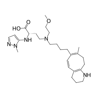 COCCN(CCCCC1=C(\C)CCC2=C(/C=C\1)CCCN2)CC[C@H](Nc1ccnn1C)C(=O)O